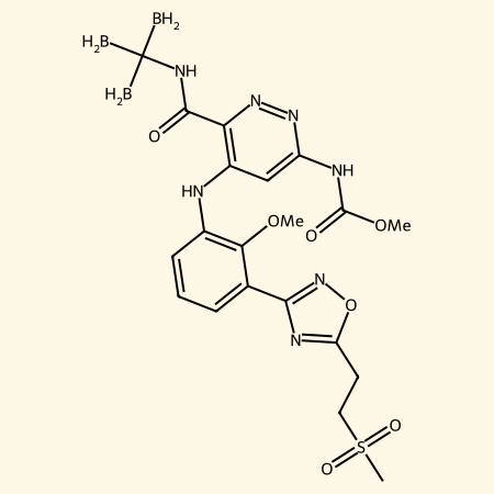 BC(B)(B)NC(=O)c1nnc(NC(=O)OC)cc1Nc1cccc(-c2noc(CCS(C)(=O)=O)n2)c1OC